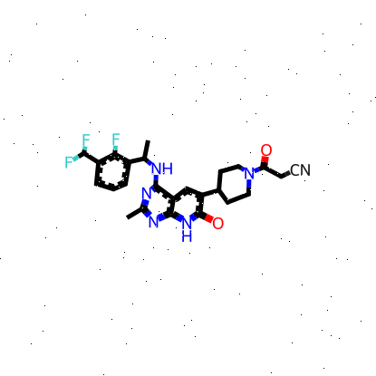 Cc1nc(NC(C)c2cccc(C(F)F)c2F)c2cc(C3CCN(C(=O)CC#N)CC3)c(=O)[nH]c2n1